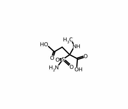 CNC(CC(=O)O)(C(=O)O)S(N)(=O)=O